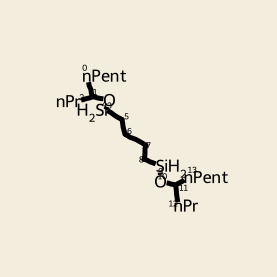 CCCCCC(CCC)O[SiH2]CCCC[SiH2]OC(CCC)CCCCC